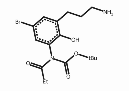 CCC(=O)N(C(=O)OC(C)(C)C)c1cc(Br)cc(CCCN)c1O